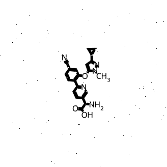 Cn1nc(C2CC2)cc1Oc1cc(C#N)ccc1-c1ccc(C(N)C(=O)O)cn1